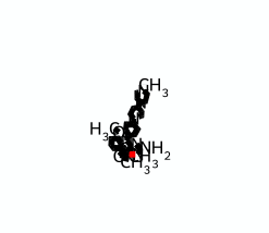 COc1cc(N2CCC(N3CCN(C)CC3)CC2)ccc1N(c1ncnc(N)n1)c1ccccc1S(=O)(=O)C(C)C